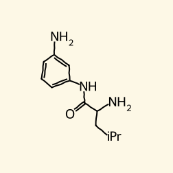 CC(C)CC(N)C(=O)Nc1cccc(N)c1